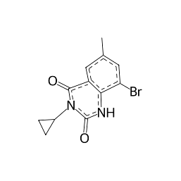 Cc1cc(Br)c2[nH]c(=O)n(C3CC3)c(=O)c2c1